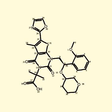 COc1ccccc1[C@H](Cn1c(=O)n(C(C)(C)C(=O)O)c(=O)c2c(C)c(-c3ncco3)sc21)OC1CCCOC1